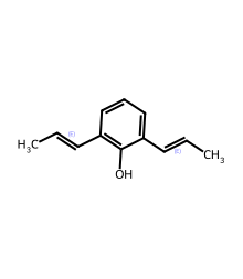 C/C=C/c1cccc(/C=C/C)c1O